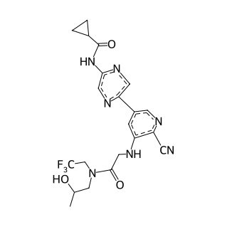 CC(O)CN(CC(F)(F)F)C(=O)CNc1cc(-c2cnc(NC(=O)C3CC3)cn2)cnc1C#N